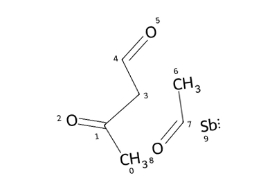 CC(=O)CC=O.CC=O.[Sb]